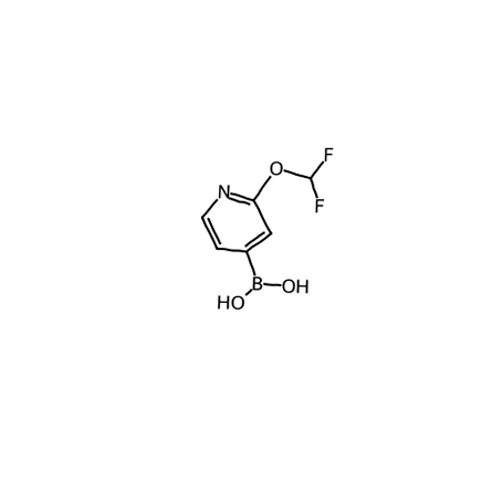 OB(O)c1ccnc(OC(F)F)c1